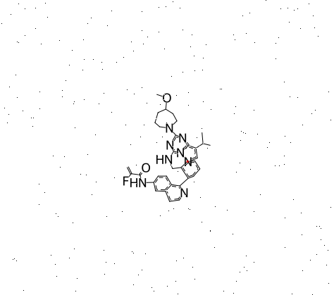 C=C(F)C(=O)Nc1ccc2c(-c3ccccc3CNc3nc(N4CCCC(OC)CC4)nc4c(C(C)C)cnn34)nccc2c1